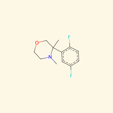 CN1CCOCC1(C)c1cc(F)ccc1F